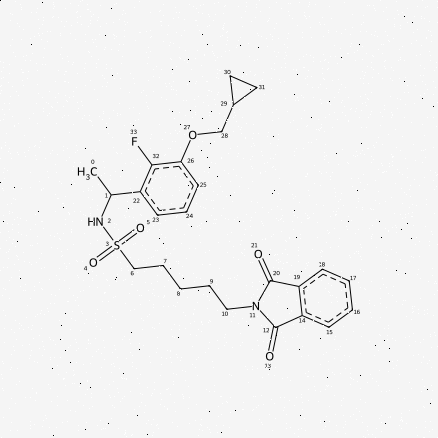 CC(NS(=O)(=O)CCCCCN1C(=O)c2ccccc2C1=O)c1cccc(OCC2CC2)c1F